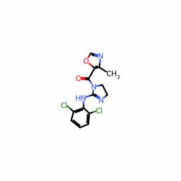 Cc1ncoc1C(=O)N1CCN=C1Nc1c(Cl)cccc1Cl